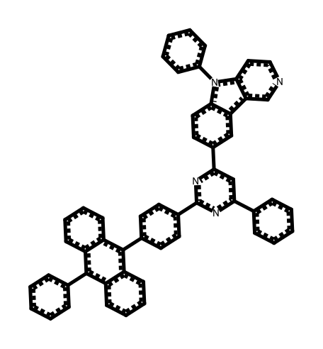 c1ccc(-c2cc(-c3ccc4c(c3)c3cnccc3n4-c3ccccc3)nc(-c3ccc(-c4c5ccccc5c(-c5ccccc5)c5ccccc45)cc3)n2)cc1